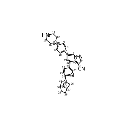 N#Cc1cnn2cc(-c3ccc(N4CCNCC4)cc3)cc(-c3ccc(N4CC5CCC(C4)O5)nc3)c12